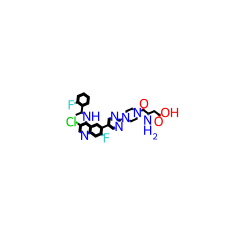 CC(Nc1c(Cl)cnc2cc(F)c(-c3cnc(N4CCN(C(=O)C(N)CC(=O)O)CC4)nc3)cc12)c1ccccc1F